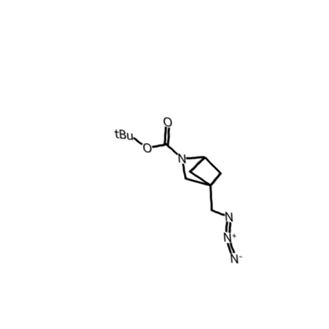 CC(C)(C)OC(=O)N1CC2(CN=[N+]=[N-])CC1C2